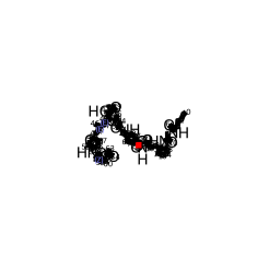 CCCCCC(=O)NCC(=O)Nc1ccccc1CCC(=O)NS(=O)(=O)c1ccc(CNC(=O)C[C@@H]2C[C@@]3(CO3)[C@H](O)[C@@H](/C=C/C(C)=C/C[C@@H]3O[C@H](C)[C@H](NC(=O)/C=C\[C@H](C)OC(C)=O)C[C@@H]3C)O2)cc1